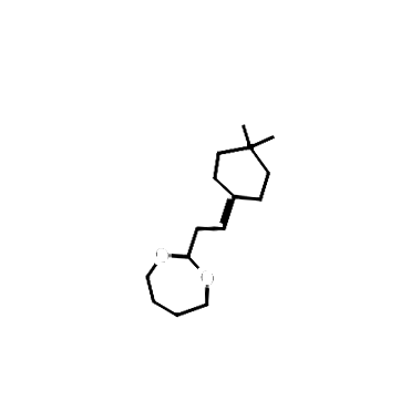 CC1(C)CCC(=CCC2OCCCCO2)CC1